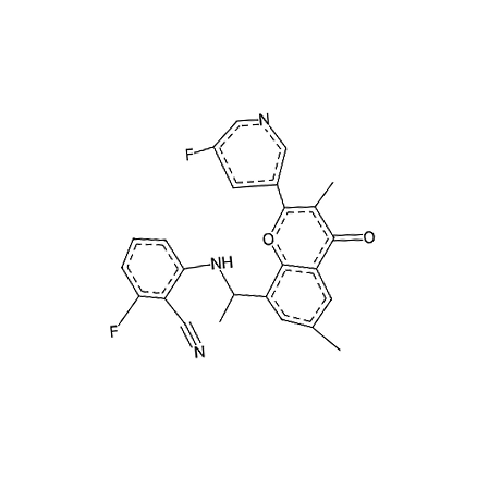 Cc1cc(C(C)Nc2cccc(F)c2C#N)c2oc(-c3cncc(F)c3)c(C)c(=O)c2c1